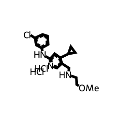 COCCNCc1cnc(Nc2cccc(Cl)c2)cc1C1CC1.Cl.Cl